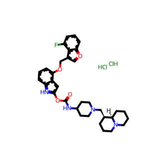 Cl.Cl.O=C(NC1CCN(C[C@@H]2CCCN3CCCC[C@H]23)CC1)Oc1cc2c(OCc3coc4cccc(F)c34)cccc2[nH]1